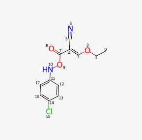 CCOC=C(C#N)C(=O)ONc1ccc(Cl)cc1